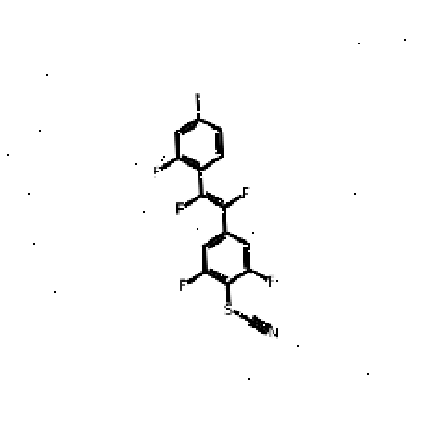 Cc1ccc(/C(F)=C(\F)c2cc(F)c(SC#N)c(F)c2)c(F)c1